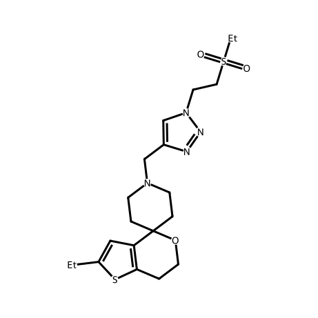 CCc1cc2c(s1)CCOC21CCN(Cc2cn(CCS(=O)(=O)CC)nn2)CC1